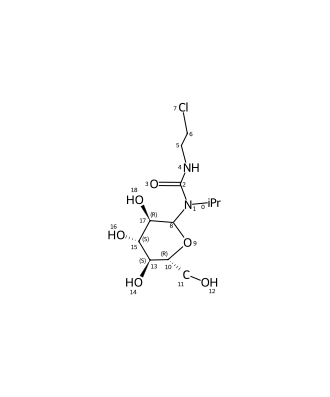 CC(C)N(C(=O)NCCCl)C1O[C@H](CO)[C@@H](O)[C@H](O)[C@H]1O